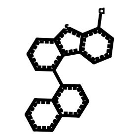 Clc1cccc2c1sc1cccc(-c3cccc4ccccc34)c12